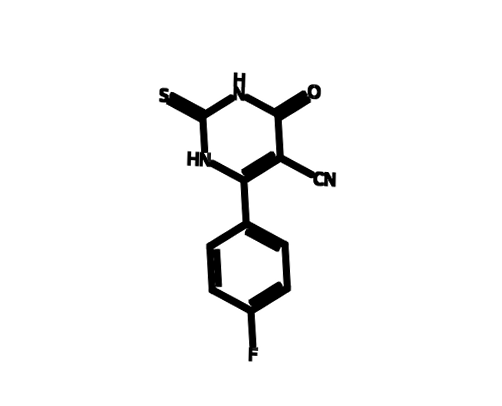 N#Cc1c(-c2ccc(F)cc2)[nH]c(=S)[nH]c1=O